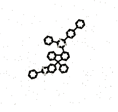 c1ccc(-c2ccc(-c3nc(-c4ccccc4)nc(-c4cccc5c4-c4ccccc4C5(c4ccccc4)c4ccc5oc(-c6ccccc6)nc5c4)n3)cc2)cc1